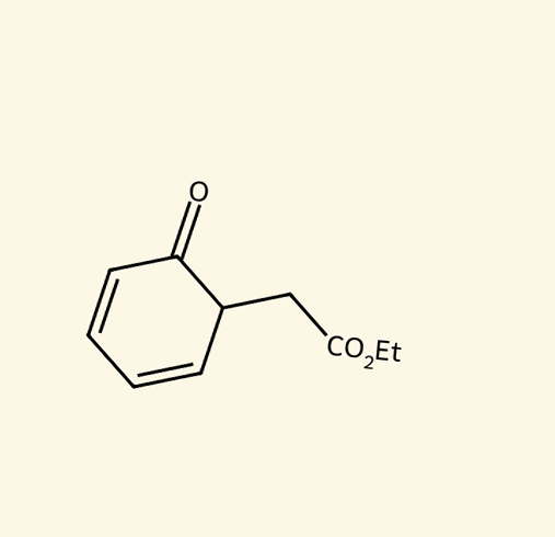 CCOC(=O)CC1C=CC=CC1=O